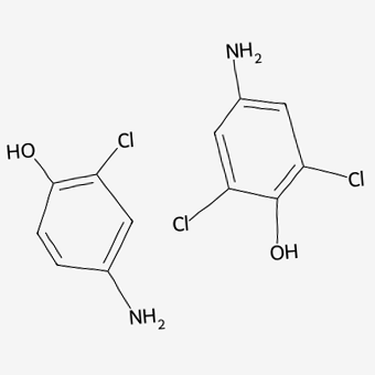 Nc1cc(Cl)c(O)c(Cl)c1.Nc1ccc(O)c(Cl)c1